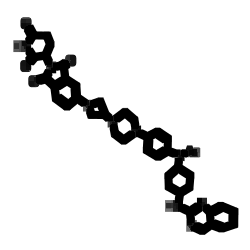 CC(=O)N(c1ccc(N2CCN(C3CN(c4ccc5c(c4)C(=O)N(C4CCC(=O)NC4=O)C5=O)C3)CC2)cc1)C1CCC(Nc2ncc3ccccc3n2)CC1